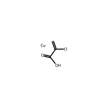 C=C(Cl)C(=O)O.[Cu]